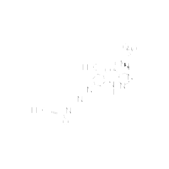 CC#CC(=O)N1CC(N2CCN(c3cc(C)c4c(c3)Nc3ncnc(N5CCS(=O)(=O)CC5)c3[C@@H](C)O4)CC2)C1